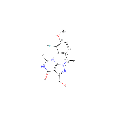 Cc1nc2c(c(CO)nn2[C@H](C)c2ccc(OC(F)(F)F)c(F)c2)c(=O)[nH]1